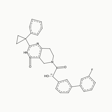 O=C([C@@H](O)c1cccc(-c2cccc(F)c2)c1)N1CCc2nc(C3(c4ccccc4)CC3)[nH]c(=O)c2C1